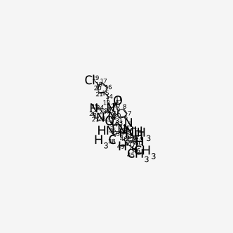 C[C@H]1[C@@H](NC(=Nc2ccc3c(=O)n(CCc4ccc(Cl)cc4)c(-c4cnccn4)nc3c2)N2CC(=O)N[C@@H](C)C2)C[C@@H]2C[C@@H]1C2(C)C